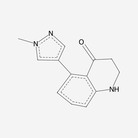 Cn1cc(-c2cccc3c2C(=O)CCN3)cn1